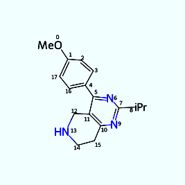 COc1ccc(-c2nc(C(C)C)nc3c2CNCC3)cc1